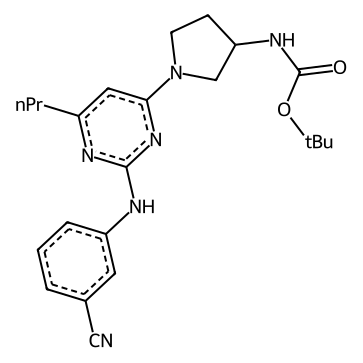 CCCc1cc(N2CCC(NC(=O)OC(C)(C)C)C2)nc(Nc2cccc(C#N)c2)n1